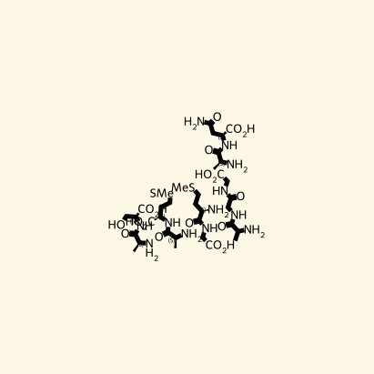 CC(N)C(=O)NCC(=O)NCC(=O)O.CSCC[C@H](N)C(=O)NCC(=O)O.CSCC[C@H](NC(=O)[C@H](C)N)C(=O)O.C[C@H](N)C(=O)N[C@@H](CC(N)=O)C(=O)O.C[C@H](N)C(=O)N[C@@H](CO)C(=O)O